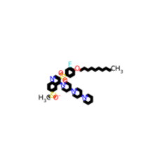 CCCCCCCCCCOc1ccc(S(=O)(=O)c2cnc3ccc([S+](C)[O-])cc3c2N2CCC(N3CCC(N4CCCCC4)CC3)CC2)cc1F